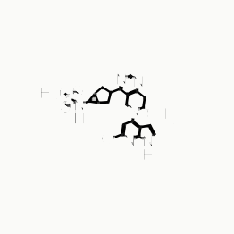 C[C@@H]1Cc2ncnc(C3CC4C(C3)C4NS(C)(=O)=O)c2CN1c1cc(Cl)nc2[nH]ccc12